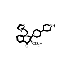 O=C(O)c1c(N2CCC(C3CCNCC3)CC2)n(Cc2nccs2)c2ccccc2c1=O